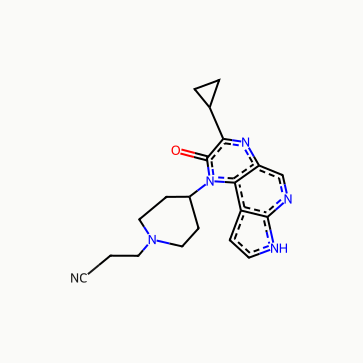 N#CCCN1CCC(n2c(=O)c(C3CC3)nc3cnc4[nH]ccc4c32)CC1